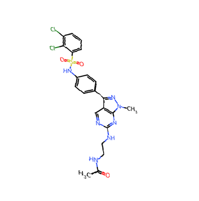 CC(=O)NCCNc1ncc2c(-c3ccc(NS(=O)(=O)c4cccc(Cl)c4Cl)cc3)nn(C)c2n1